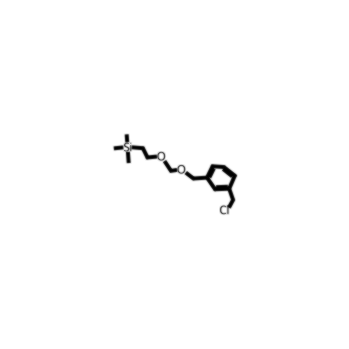 C[Si](C)(C)CCOCOCc1cccc(CCl)c1